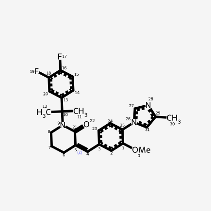 COc1cc(/C=C2/CCCN(C(C)(C)c3ccc(F)c(F)c3)C2=O)ccc1-n1cnc(C)c1